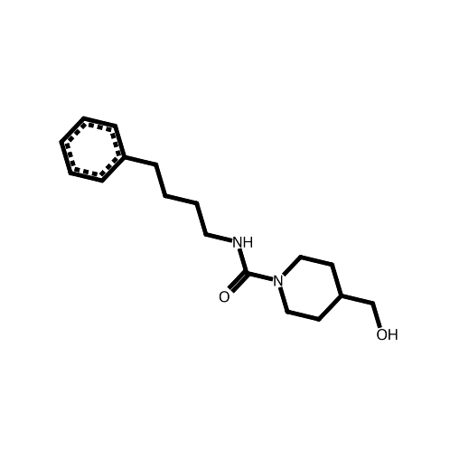 O=C(NCCCCc1ccccc1)N1CCC(CO)CC1